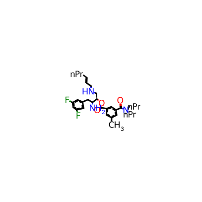 CCC/C=C/CNC[C@@H](OC(=O)c1cc(C)cc(C(=O)N(CCC)CCC)c1)[C@@H](N)Cc1cc(F)cc(F)c1